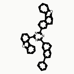 c1ccc(-c2ccc3ccc(-c4nc(-c5ccc6c(ccc7oc8ccccc8c76)c5)nc(-c5cccc6oc7ccccc7c56)n4)cc3c2)cc1